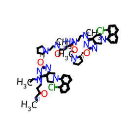 C/C=C/C(=O)CCN(CC)c1nc(OC[C@@H]2CCCN2CCN(C)C(=O)/C=C/C(=O)NCCN(C)c2nc(OC[C@@H]3CCCN3C)nc3c2CCN(c2cccc4cccc(Cl)c24)C3)nc2c1CCN(c1cccc3cccc(Cl)c13)C2